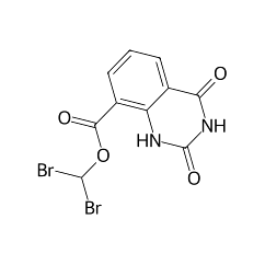 O=C(OC(Br)Br)c1cccc2c(=O)[nH]c(=O)[nH]c12